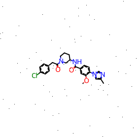 COc1cc(C(=O)NC2CCCN(C(=O)Cc3ccc(Cl)cc3)C2)ccc1-n1cnc(C)c1